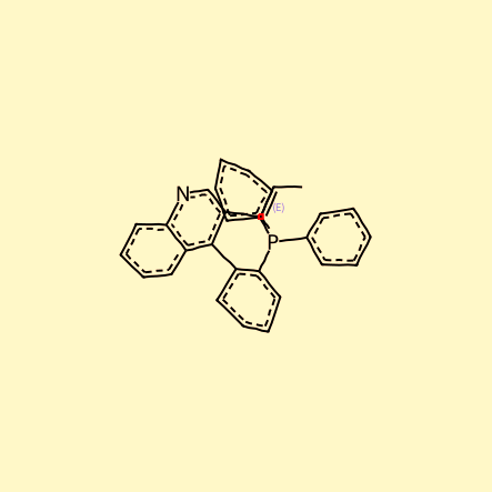 C/C=C(\C)c1cnc2ccccc2c1-c1ccccc1P(c1ccccc1)c1ccccc1